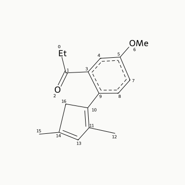 CCC(=O)c1cc(OC)ccc1C1=C(C)C=C(C)C1